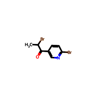 CC(Br)C(=O)c1ccc(Br)nc1